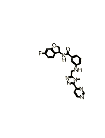 Cn1c(CNc2cccc(C(=O)NC3COc4cc(F)ccc43)c2)nnc1-c1ccncn1